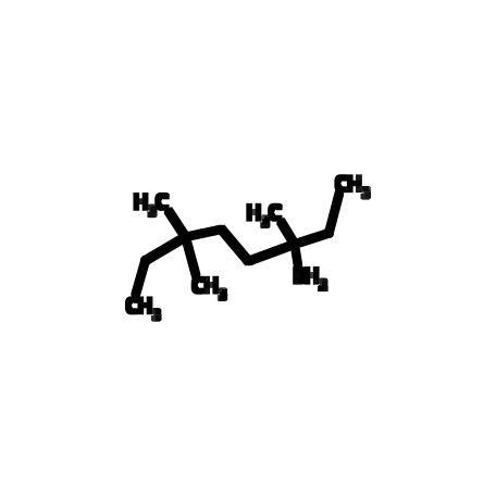 BC(C)(CC)CCC(C)(C)CC